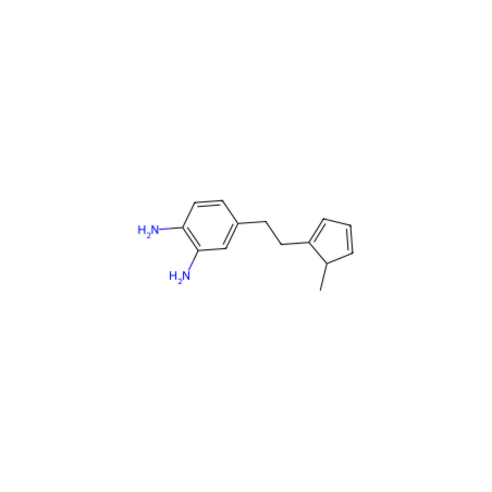 CC1C=CC=C1CCc1ccc(N)c(N)c1